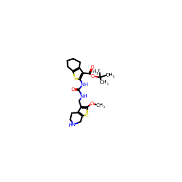 COc1sc2c(c1CNC(=O)Nc1sc3c(c1C(=O)OC(C)(C)C)CCCC3)CCNC2